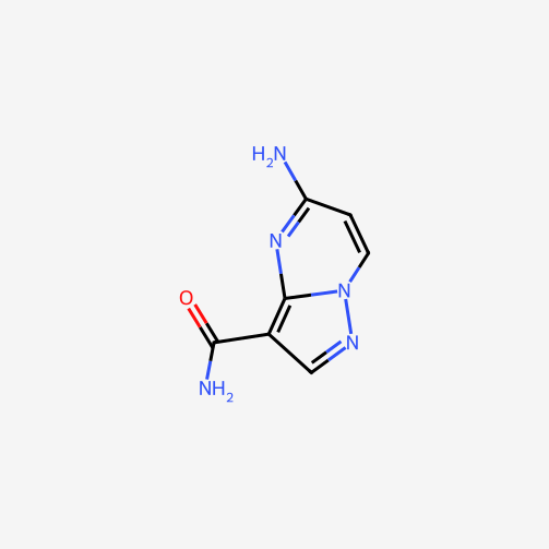 NC(=O)c1cnn2ccc(N)nc12